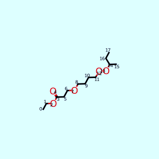 CCOC(=O)CCOCCCCOOC(C)CC